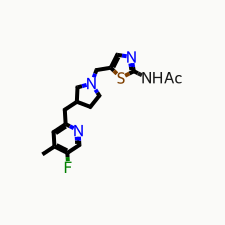 CC(=O)Nc1ncc(CN2CCC(Cc3cc(C)c(F)cn3)C2)s1